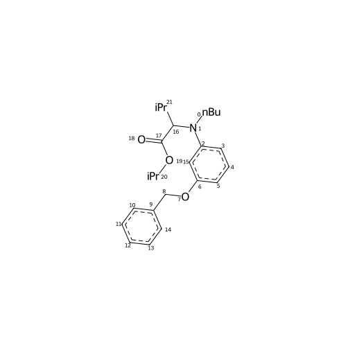 CCCCN(c1cccc(OCc2ccccc2)c1)C(C(=O)OC(C)C)C(C)C